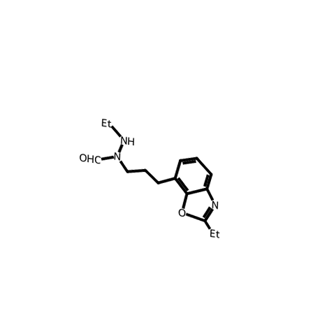 CCNN(C=O)CCCc1cccc2nc(CC)oc12